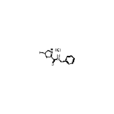 Cl.O=C(NCc1ccccc1)C1CC(F)CN1